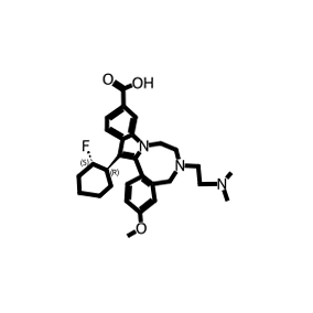 COc1ccc2c(c1)CN(CCN(C)C)CCn1c-2c([C@H]2CCCC[C@@H]2F)c2ccc(C(=O)O)cc21